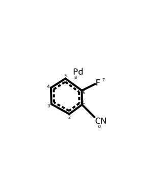 N#Cc1ccccc1F.[Pd]